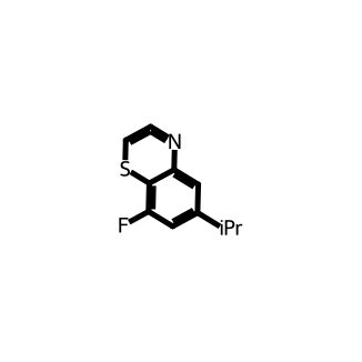 CC(C)c1cc(F)c2c(c1)N=C=CS2